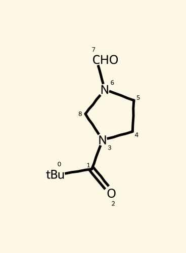 CC(C)(C)C(=O)N1CCN(C=O)C1